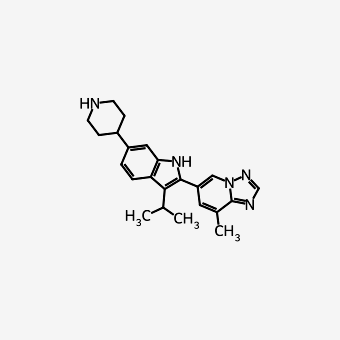 Cc1cc(-c2[nH]c3cc(C4CCNCC4)ccc3c2C(C)C)cn2ncnc12